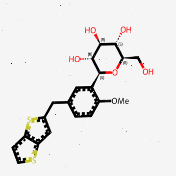 COc1ccc(Cc2cc3sccc3s2)cc1[C@@H]1O[C@H](CO)[C@@H](O)[C@H](O)[C@H]1O